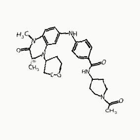 CC(=O)N1CCC(NC(=O)c2ccc(Nc3ccc4c(c3)N(C3CCOCC3)[C@H](C)C(=O)N4C)cc2)CC1